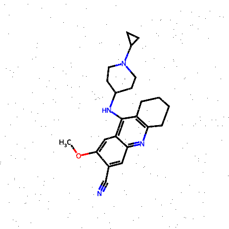 COc1cc2c(NC3CCN(C4CC4)CC3)c3c(nc2cc1C#N)CCCC3